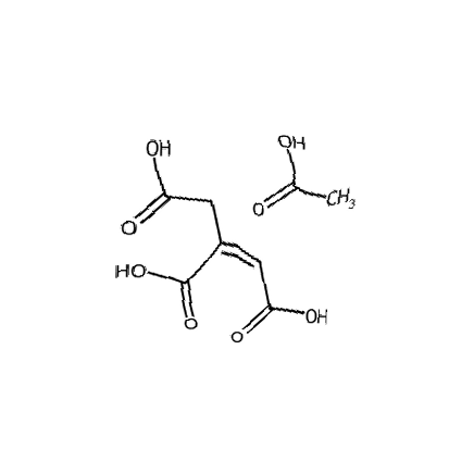 CC(=O)O.O=C(O)C=C(CC(=O)O)C(=O)O